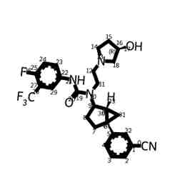 N#Cc1cccc([C@@]23CCC(N(CCN4CC[C@@H](O)C4)C(=O)Nc4ccc(F)c(C(F)(F)F)c4)[C@@H]2C3)c1